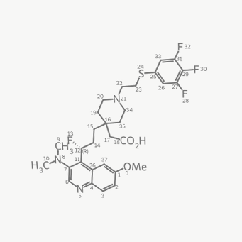 COc1ccc2ncc(N(C)C)c([C@H](F)CCC3(CC(=O)O)CCN(CCSc4cc(F)c(F)c(F)c4)CC3)c2c1